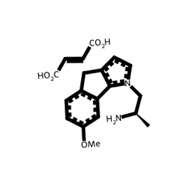 COc1ccc2c(c1)-c1c(ccn1C[C@@H](C)N)C2.O=C(O)/C=C/C(=O)O